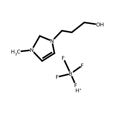 CN1C=CN(CCCO)C1.F[B-](F)(F)F.[H+]